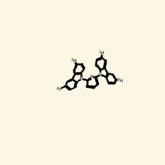 [2H]c1ccc2c(c1)c1cc([2H])ccc1n2-c1cccc(-n2c3ccc([2H])cc3c3cc([2H])ccc32)n1